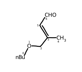 CCCCOCC(C)=CC=O